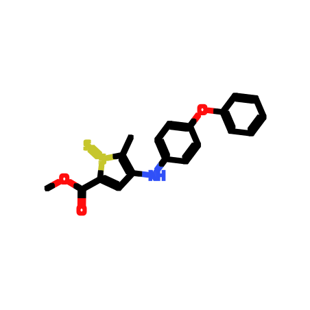 COC(=O)C1=CC(Nc2ccc(Oc3ccccc3)cc2)=C(C)S1=S